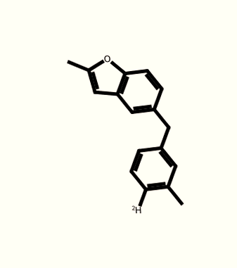 [2H]c1ccc(Cc2ccc3oc(C)cc3c2)cc1C